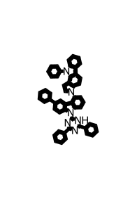 c1ccc(C2=NC(c3ccccc3)NC(n3c4ccc(-c5ccccc5)cc4c4c(-n5ccc6c5ccc5c7ccccc7n(-c7ccccc7)c56)cccc43)=N2)cc1